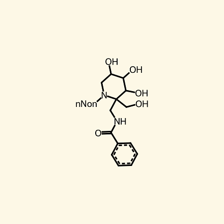 CCCCCCCCCN1CC(O)C(O)C(O)C1(CO)CNC(=O)c1ccccc1